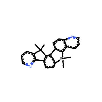 CC1(C)c2cccnc2-c2ccc3c(c21)-c1ccc2ncccc2c1[Si]3(C)C